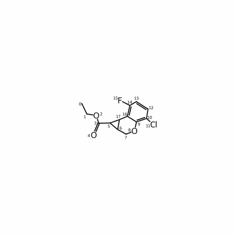 CCOC(=O)C1C2COc3c(Cl)ccc(F)c3C21